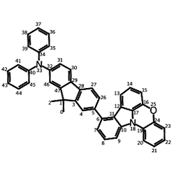 CC1(C)c2cc(-c3cccc4c3c3cccc5c3n4-c3ccccc3O5)ccc2-c2ccc(N(c3ccccc3)c3ccccc3)cc21